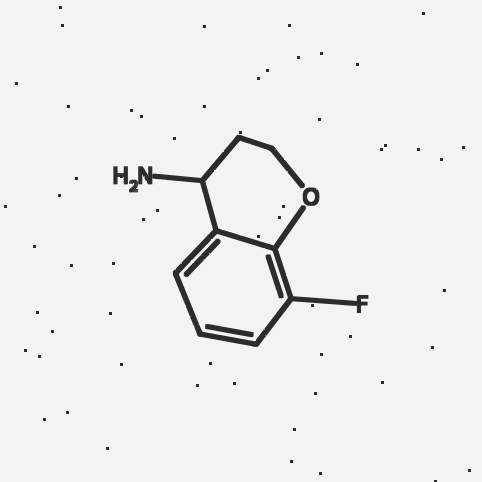 NC1CCOc2c(F)cccc21